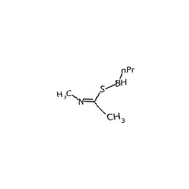 CCCBS/C(C)=N\C